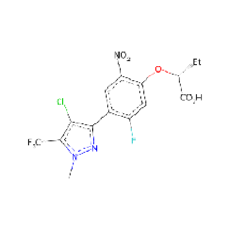 CC[C@@H](Oc1cc(F)c(-c2nn(C)c(C(F)(F)F)c2Cl)cc1[N+](=O)[O-])C(=O)O